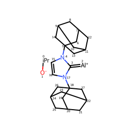 CC(C)[O-].[Al+]=[C]1N(C23CC4CC(CC(C4)C2)C3)C=CN1C12CC3CC(CC(C3)C1)C2